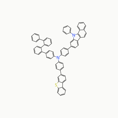 c1ccc(-c2ccccc2-c2ccccc2-c2ccc(N(c3ccc(-c4ccc5c(c4)sc4ccccc45)cc3)c3ccc(-c4ccc5c6ccc7ccccc7c6n(-c6ccccc6)c5c4)cc3)cc2)cc1